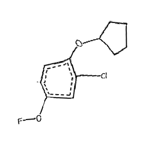 FOc1[c]cc(OC2CCCC2)c(Cl)c1